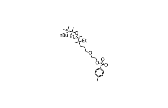 CCCC[Si](C)(C)C(C)(CC)O[Si](C)(C)C(C)(CC)CCCOCCOS(=O)(=O)c1ccc(C)cc1